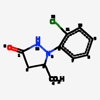 O=C1CC(C(=O)O)N(c2ccccc2Cl)N1